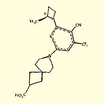 C[C@H]1CCN1c1nc(N2CCC3(CC2)CC(C(=O)O)C3)cc(C(F)(F)F)c1C#N